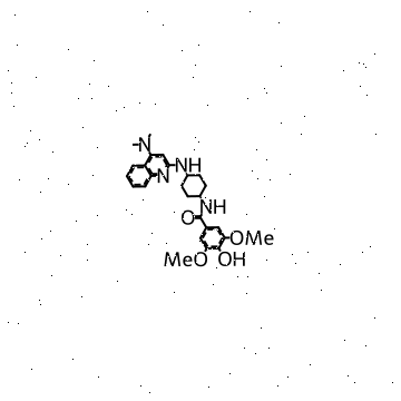 COc1cc(C(=O)N[C@H]2CC[C@@H](Nc3cc(N(C)C)c4ccccc4n3)CC2)cc(OC)c1O